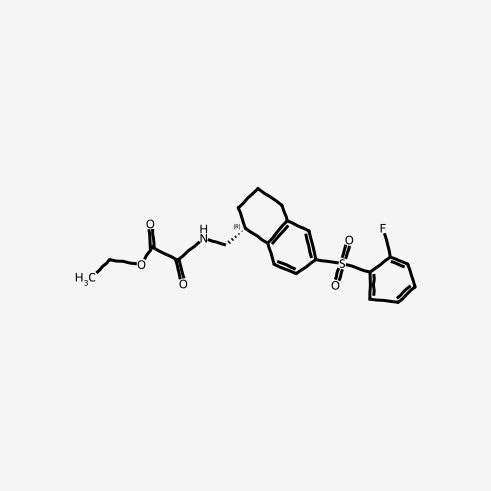 CCOC(=O)C(=O)NC[C@@H]1CCCc2cc(S(=O)(=O)c3ccccc3F)ccc21